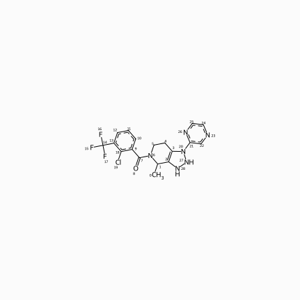 CC1C2=C(CCN1C(=O)c1cccc(C(F)(F)F)c1Cl)N(c1cnccn1)NN2